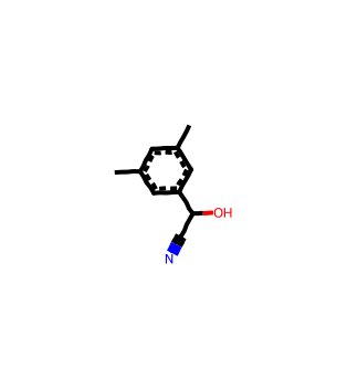 Cc1cc(C)cc(C(O)C#N)c1